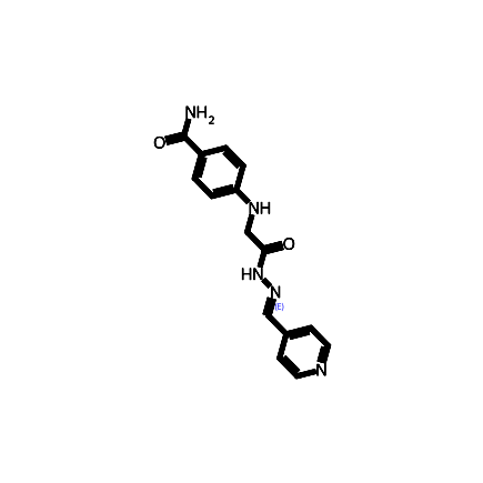 NC(=O)c1ccc(NCC(=O)N/N=C/c2ccncc2)cc1